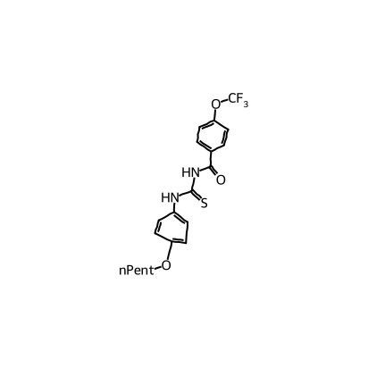 CCCCCOc1ccc(NC(=S)NC(=O)c2ccc(OC(F)(F)F)cc2)cc1